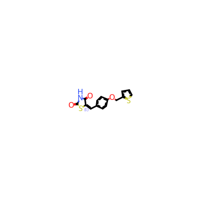 O=C1NC(=O)/C(=C\c2ccc(OCc3cccs3)cc2)S1